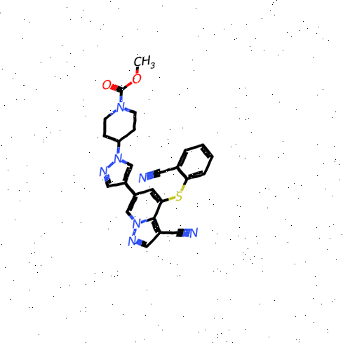 COC(=O)N1CCC(n2cc(-c3cc(Sc4ccccc4C#N)c4c(C#N)cnn4c3)cn2)CC1